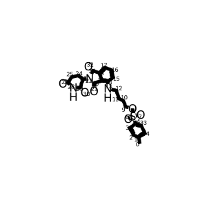 Cc1ccc(S(=O)(=O)OCCCCNc2cccc3c2C(=O)N(C2CCC(=O)NC2=O)C3=O)cc1